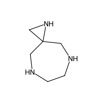 C1CNCC2(CN1)CN2